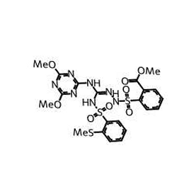 COC(=O)c1ccccc1S(=O)(=O)NN=C(Nc1nc(OC)nc(OC)n1)NS(=O)(=O)c1ccccc1SC